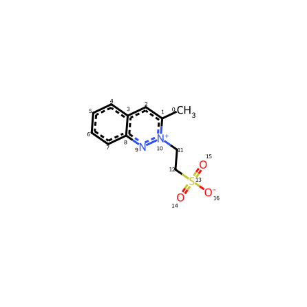 Cc1cc2ccccc2n[n+]1CCS(=O)(=O)[O-]